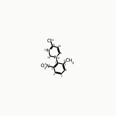 Cc1cccc([N+](=O)[O-])c1N1C=CC(Cl)=NC1